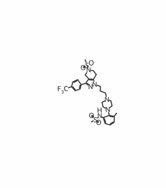 Cc1cccc(NS(C)(=O)=O)c1N1CCN(CCCn2nc(-c3ccc(C(F)(F)F)cc3)c3c2CCN(S(C)(=O)=O)C3)CC1